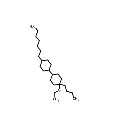 CCCCCCCC1CCC(C2CCC(CCCC)(OCC)CC2)CC1